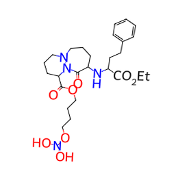 CCOC(=O)C(CCc1ccccc1)NC1CCCN2CCCC(C(=O)OCCCCON(O)O)N2C1=O